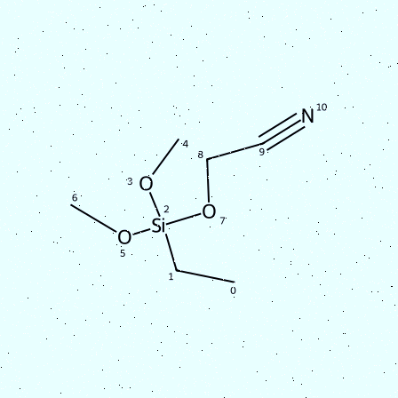 CC[Si](OC)(OC)OCC#N